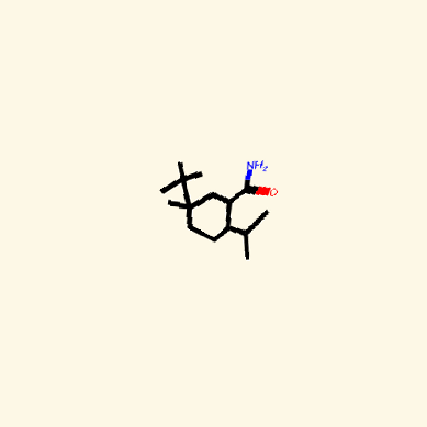 CC(C)C1CCC(C)(C(C)(C)C)CC1C(N)=O